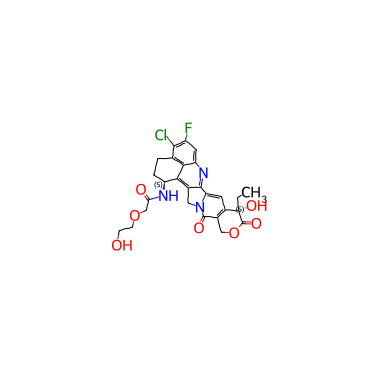 CC[C@@]1(O)C(=O)OCc2c1cc1n(c2=O)Cc2c-1nc1cc(F)c(Cl)c3c1c2[C@@H](NC(=O)COCCO)CC3